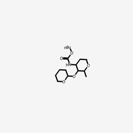 CCCCOC(=O)NC1C[CH]OC(C)C1OC1CCCCO1